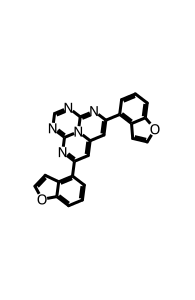 C1=NC2=NC(c3cccc4occc34)=CC3=CC(c4cccc5occc45)=NC(=N1)N32